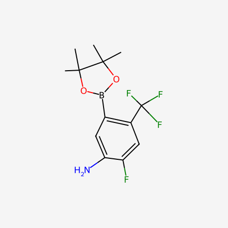 CC1(C)OB(c2cc(N)c(F)cc2C(F)(F)F)OC1(C)C